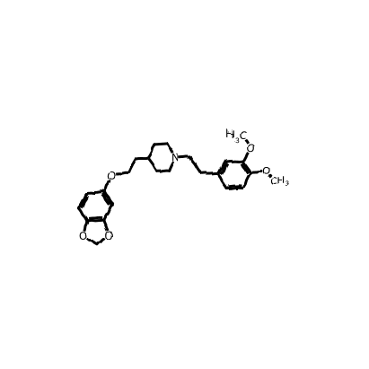 COc1ccc(CCN2CCC(CCOc3ccc4c(c3)OCO4)CC2)cc1OC